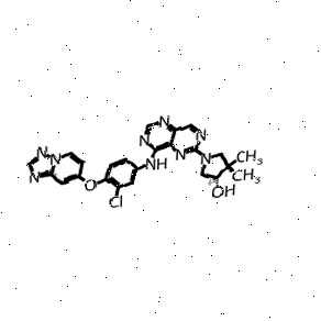 CC1(C)CN(c2ncc3ncnc(Nc4ccc(Oc5ccn6ncnc6c5)c(Cl)c4)c3n2)C[C@H]1O